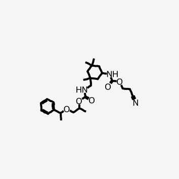 CC(COC(C)c1ccccc1)OC(=O)NCC1(C)CC(NC(=O)OCCC#N)CC(C)(C)C1